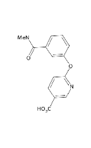 CNC(=O)c1cccc(Oc2ccc(C(=O)O)cn2)c1